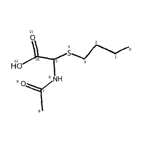 CCCCSC(NC(C)=O)C(=O)O